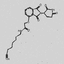 C#CCCCCCCNC(=O)COc1cccc2c1C(=O)N(C1CCC(=O)NC1=O)C2=O